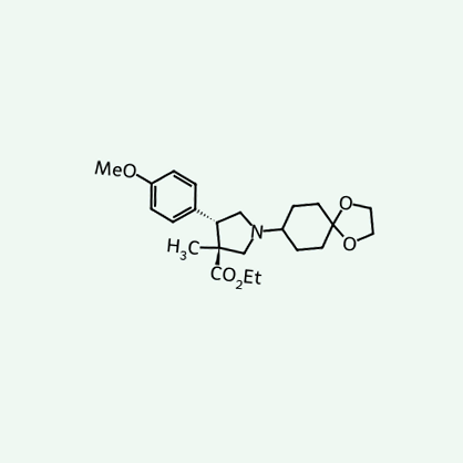 CCOC(=O)[C@]1(C)CN(C2CCC3(CC2)OCCO3)C[C@H]1c1ccc(OC)cc1